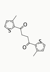 Cc1ccsc1C(=O)CCC(=O)c1sccc1C